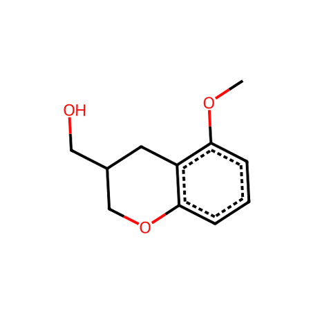 COc1cccc2c1CC(CO)CO2